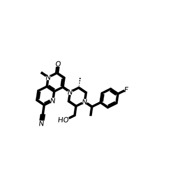 CC(c1ccc(F)cc1)N1C[C@@H](C)N(c2cc(=O)n(C)c3ccc(C#N)nc23)CC1CO